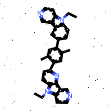 CCn1c2ccncc2c2cc(-c3cc(C)c(-c4ccc5c(n4)c4cnccc4n5CC)cc3C)ccc21